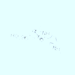 CC(NC(=O)c1cccc(N)c1)S(=O)(=O)CCOS(=O)(=O)O